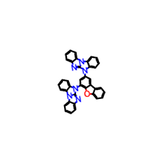 c1ccc2c(c1)nc1n(-c3cc(-n4c5ccccc5n5c6ccccc6nc45)c4oc5ccccc5c4c3)c3ccccc3n21